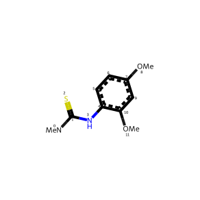 CNC(=S)Nc1ccc(OC)cc1OC